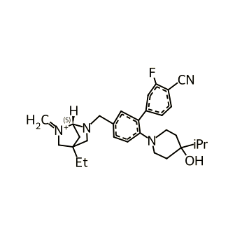 C=[N+]1CC2(CC)C[C@H]1N(Cc1ccc(N3CCC(O)(C(C)C)CC3)c(-c3ccc(C#N)c(F)c3)c1)C2